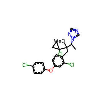 COC(Cc1ccc(Oc2ccc(Cl)cc2)cc1Cl)(C(C)n1cncn1)C1(Cl)CC1